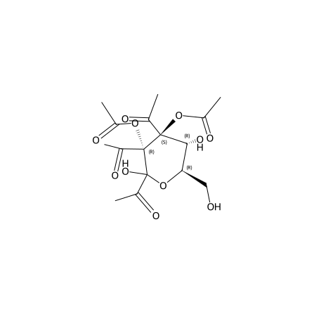 CC(=O)O[C@@]1(C(C)=O)[C@H](O)[C@@H](CO)OC(O)(C(C)=O)[C@@]1(OC(C)=O)C(C)=O